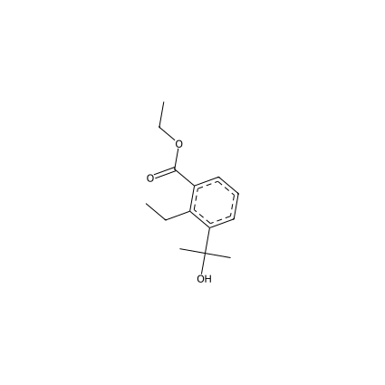 CCOC(=O)c1cccc(C(C)(C)O)c1CC